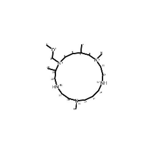 COCN1CCC(C)CN(C)CCNCCCN(C)CCNCC1C